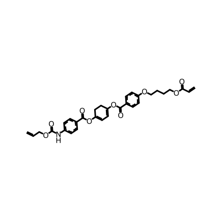 C=CCOC(=O)Nc1ccc(C(=O)OC2=CC=C(OC(=O)c3ccc(OCCCCOC(=O)C=C)cc3)CC2)cc1